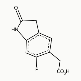 O=C(O)Cc1cc2c(cc1F)NC(=O)C2